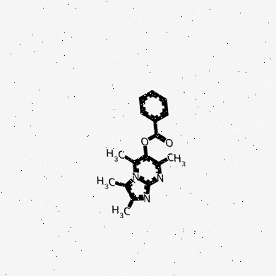 Cc1nc2nc(C)c(C)n2c(C)c1OC(=O)c1ccccc1